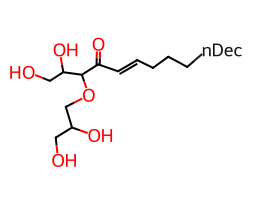 CCCCCCCCCCCCCC=CC(=O)C(OCC(O)CO)C(O)CO